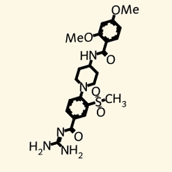 COc1ccc(C(=O)NC2CCN(c3ccc(C(=O)N=C(N)N)cc3S(C)(=O)=O)CC2)c(OC)c1